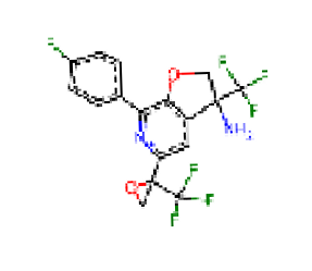 NC1(C(F)(F)F)COc2c1cc(C1(C(F)(F)F)CO1)nc2-c1ccc(F)cc1